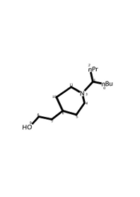 CCCC[C](CCC)N1CCC(CCO)CC1